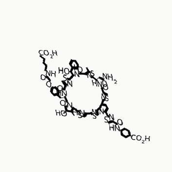 Cc1sc2nc1C(=O)N[C@@H]([C@H](O)c1ccccc1)c1nc(cs1)C(=O)N[C@@H](Cc1ccc(OCC(=O)NCCCCCC(=O)O)cc1)C(=O)N1C[C@H](O)[C@H](C)[C@H]1c1nc(cs1)-c1nc(cs1)-c1nc(-c3nc(C(=O)N[C@H]4CC[C@H](C(=O)O)CC4)cs3)ccc1-c1nc(cs1)C(=O)N[C@H]2CC(N)=O